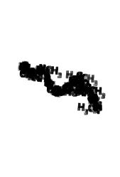 Cc1ncsc1-c1ccc([C@H](C)NC(=O)[C@@H]2C[C@@H](O)CN2C(=O)[C@@H](c2cc(N3CCC(CN4CCC(OC5CC(C#C[C@@H](C)n6cc(-c7cc(-c8ccccc8O)nnc7N)cn6)C5)CC4)CC3)no2)C(C)C)cc1